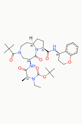 CCN(C(=O)OC(C)(C)C)[C@@H](C)C(=O)N[C@H]1CN(C(=O)C(C)(C)C)CC[C@H]2CC[C@@H](C(=O)N[C@@H]3CCOc4ccccc43)N2C1=O